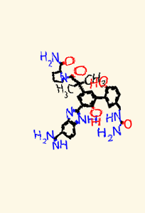 CC(C)(C(=O)N1CCCC1C(N)=O)c1cc(-c2nc3cc(C(=N)N)ccc3[nH]2)c(O)c(-c2cc(CNC(N)=O)ccc2O)c1